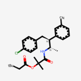 C[C@H](NC(=O)C(C)(C)OC(=O)CC(C)(C)C)[C@@H](Cc1ccc(Cl)cc1)c1cccc(C#N)c1